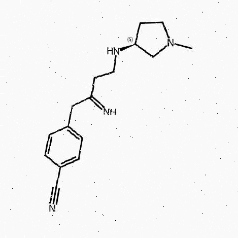 CN1CC[C@H](NCCC(=N)Cc2ccc(C#N)cc2)C1